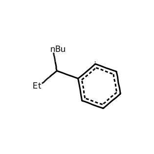 CCCCC(CC)c1[c]cccc1